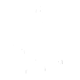 CC(C)c1c(O)ccc(Cl)c1C(F)(F)F